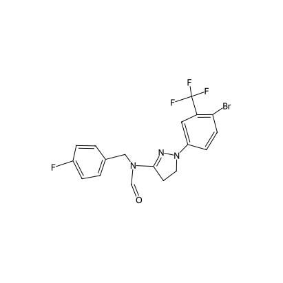 O=CN(Cc1ccc(F)cc1)C1=NN(c2ccc(Br)c(C(F)(F)F)c2)CC1